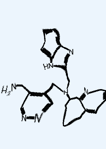 NCc1cnncc1CN(Cc1nc2ccccc2[nH]1)C1CCCc2cccnc21